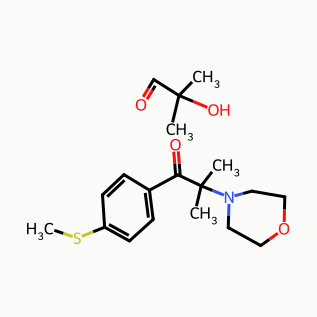 CC(C)(O)C=O.CSc1ccc(C(=O)C(C)(C)N2CCOCC2)cc1